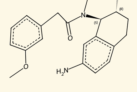 COc1cccc(CC(=O)N(C)[C@@H]2c3cc(N)ccc3CC[C@H]2C)c1